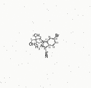 CC(C)(CO)Cn1nc(C#N)c2ccc(Br)cc21